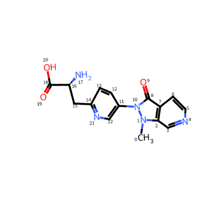 Cn1c2cnccc2c(=O)n1-c1ccc(C[C@H](N)C(=O)O)nc1